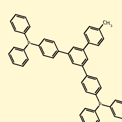 Cc1ccc(-c2cc(-c3ccc(P(c4ccccc4)c4ccccc4)cc3)cc(-c3ccc(P(c4ccccc4)c4ccccc4)cc3)c2)cc1